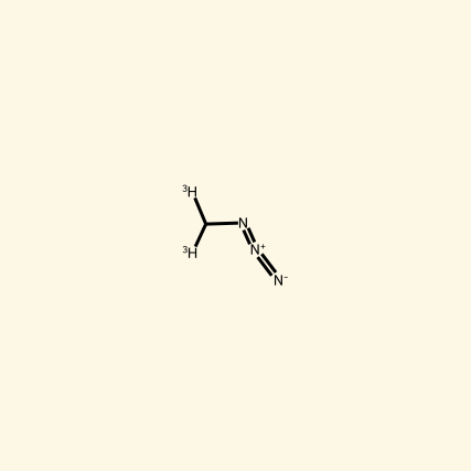 [3H]C([3H])N=[N+]=[N-]